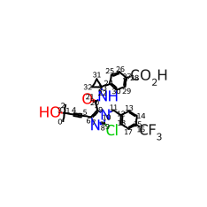 CC(C)(O)C#Cc1nc(Cl)n(Cc2ccc(C(F)(F)F)cc2)c1C(=O)NC1(c2ccc(C(=O)O)cc2)CC1